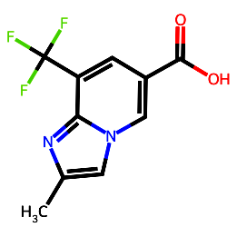 Cc1cn2cc(C(=O)O)cc(C(F)(F)F)c2n1